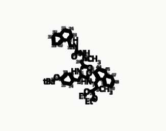 CCOC(OCC)[C@@H](C)[C@H](NC(=O)C(Cc1ccc(OC(C)(C)C)cc1)NC(=O)CN(C)NC(=O)NCc1cccc2ccccc12)c1cccc2ccccc12